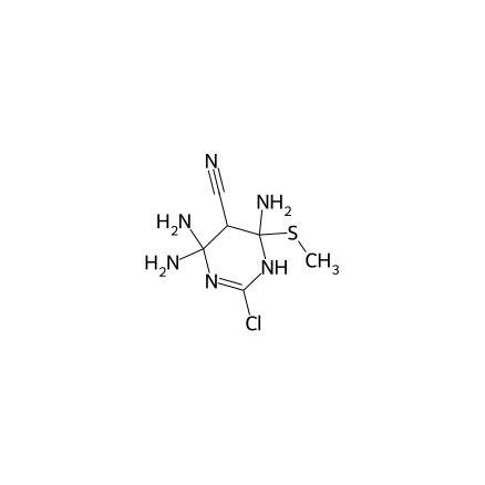 CSC1(N)NC(Cl)=NC(N)(N)C1C#N